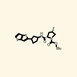 CC(C)(C)OC(=O)N1C[C@H](F)C[C@H]1C(=O)NC1CCC(c2cc3sccc3s2)C1